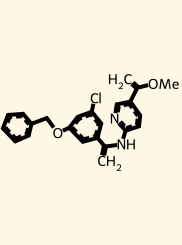 C=C(Nc1ccc(C(=C)OC)cn1)c1cc(Cl)cc(OCc2ccccc2)c1